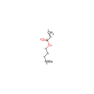 C=CC(=O)OCCCNC